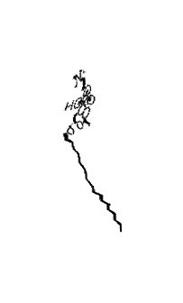 CCCCCCCCCCCCCCCC/C=C\OC[C@H](COP(=O)(O)OCC[N+](C)(C)C)OC(C)=O